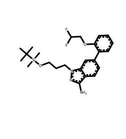 CC(C)(C)[Si](C)(C)OCCCn1nc(N)c2ccc(-c3ccccc3OCC(F)F)cc21